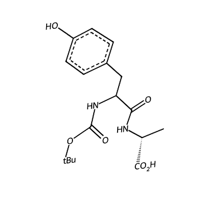 C[C@@H](NC(=O)C(Cc1ccc(O)cc1)NC(=O)OC(C)(C)C)C(=O)O